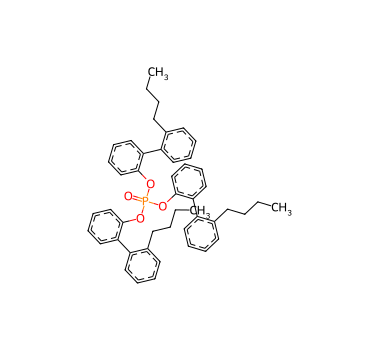 CCCCc1ccccc1-c1ccccc1OP(=O)(Oc1ccccc1-c1ccccc1CCCC)Oc1ccccc1-c1ccccc1CCCC